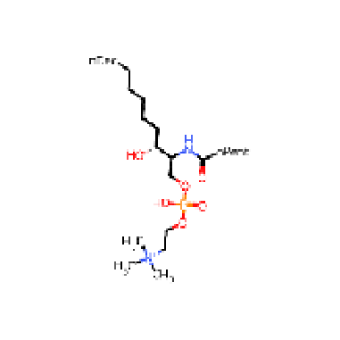 CCCCCCCCCCCCCCC[C@@H](O)[C@H](COP(=O)(O)OCC[N+](C)(C)C)NC(=O)CCCCC